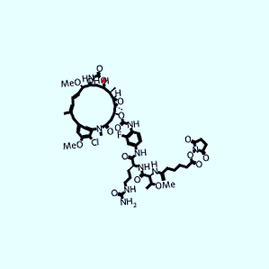 C=C(CCCCC(=O)ON1C(=O)CCC1=O)N[C@H](C(=O)N[C@@H](CCCNC(N)=O)C(=O)Nc1ccc(NC(=O)O[C@H]2CC(=O)N(C)c3cc(cc(OC)c3Cl)C/C(C)=C/C=C/[C@@H](OC)[C@@]3(O)C[C@H](OC(=O)N3)[C@@H](C)[C@@H]3O[C@@]23C)c(F)c1)C(C)OC